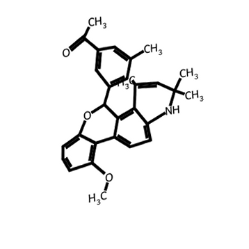 COc1cccc2c1-c1ccc3c(c1C(c1cc(C)cc(C(C)=O)c1)O2)C(C)=CC(C)(C)N3